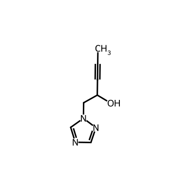 CC#CC(O)Cn1cncn1